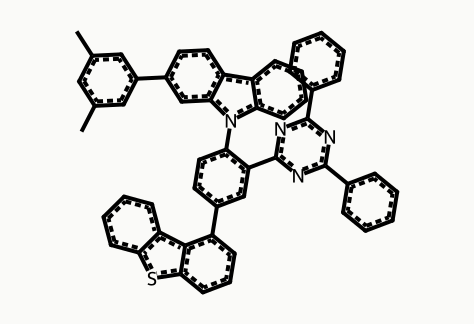 Cc1cc(C)cc(-c2ccc3c4ccccc4n(-c4ccc(-c5cccc6sc7ccccc7c56)cc4-c4nc(-c5ccccc5)nc(-c5ccccc5)n4)c3c2)c1